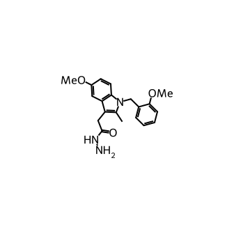 COc1ccc2c(c1)c(CC(=O)NN)c(C)n2Cc1ccccc1OC